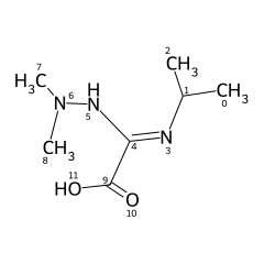 CC(C)N=C(NN(C)C)C(=O)O